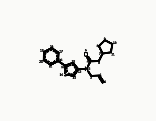 C=CCN(C(=O)CC1CCCC1)c1csc(-c2ccccc2)c1